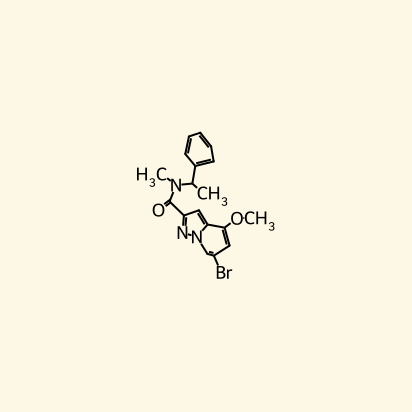 COc1cc(Br)cn2nc(C(=O)N(C)C(C)c3ccccc3)cc12